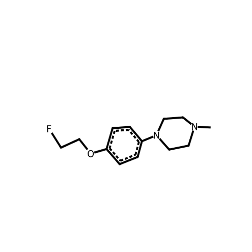 CN1CCN(c2ccc(OCCF)cc2)CC1